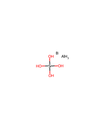 O[Si](O)(O)O.[AlH3].[B]